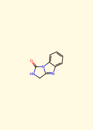 O=C1NCc2nc3ccccc3n21